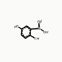 N#Cc1ccc(O)cc1B(O)O